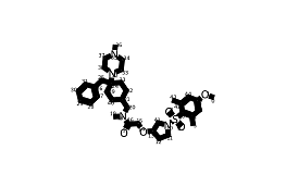 COc1cc(C)c(S(=O)(=O)N2CCC(OCC(=O)N(C)CC3CCC(Cc4ccccc4)(N4CCN(C)CC4)CC3)C2)c(C)c1